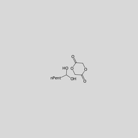 CCCCCC(O)O.O=C1COC(=O)CO1